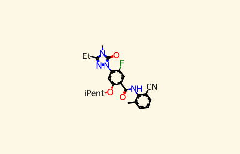 CCCC(C)Oc1cc(-n2nc(CC)n(C)c2=O)c(F)cc1C(=O)Nc1c(C)cccc1C#N